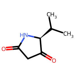 CC(C)[C@@H]1NC(=O)CC1=O